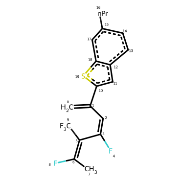 C=C(/C=C(F)\C(=C(/C)F)C(F)(F)F)c1cc2ccc(CCC)cc2s1